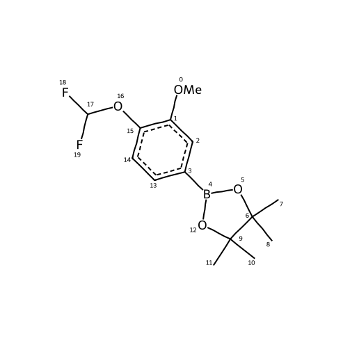 COc1cc(B2OC(C)(C)C(C)(C)O2)ccc1OC(F)F